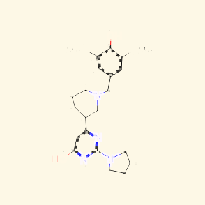 COc1cc(CN2CCCC(c3cc(O)nc(N4CCCC4)n3)C2)cc(OC)c1O